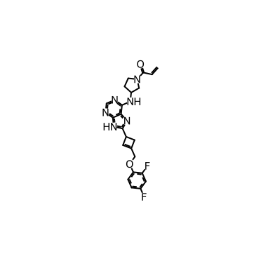 C=CC(=O)N1CCC(Nc2ncnc3[nH]c(C4C=C(COc5ccc(F)cc5F)C4)nc23)C1